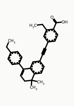 CCc1ccc(C2=CCC(C)(C)c3ccc(C#Cc4ccc(C(=O)O)c(CC)c4)cc32)cc1